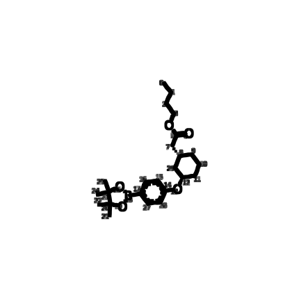 CCCCOC(=O)C[C@@H]1CCC[C@@H](Oc2ccc(B3OC(C)(C)C(C)(C)O3)cc2)C1